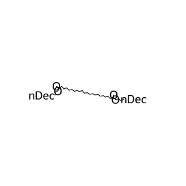 CCCCCCCCCCCCOC(=O)CCCCCCCCCCCCCCCCCCCCC(=O)OCCCCCCCCCCCC